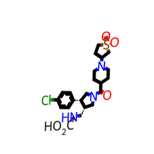 O=C(O)NC[C@H]1CN(C(=O)C2CCN(C3CCS(=O)(=O)C3)CC2)C[C@H]1c1ccc(Cl)cc1